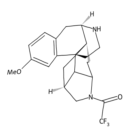 COc1ccc2c(c1)[C@]13CCN[C@H](C2)[C@]12CCC1C3[C@@H](CN1C(=O)C(F)(F)F)C2